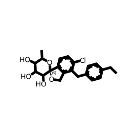 CCc1ccc(Cc2c(Cl)ccc3c2CO[C@]32OC(C)C(O)C(O)C2O)cc1